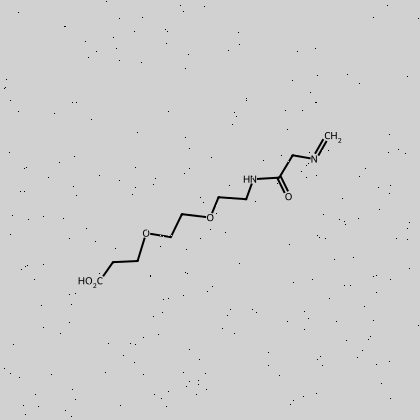 C=NCC(=O)NCCOCCOCCC(=O)O